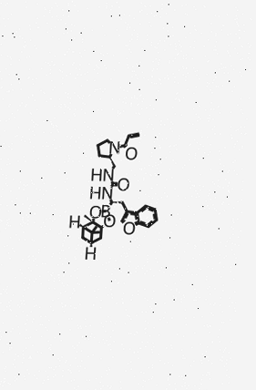 C=CC(=O)N1CCC[C@@H]1CNC(=O)N[C@@H](Cc1coc2ccccc12)B1OC2C[C@@H]3C[C@@H](C3(C)C)[C@]2(C)O1